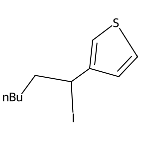 CCCCCC(I)c1ccsc1